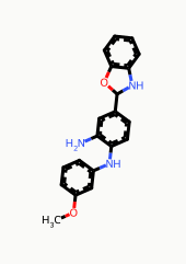 COc1cccc(Nc2ccc(C3Nc4ccccc4O3)cc2N)c1